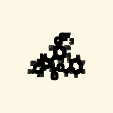 O=C(OCc1ccccc1)c1c(-c2cccc(OC(F)(F)F)c2)nn2c1CCC2